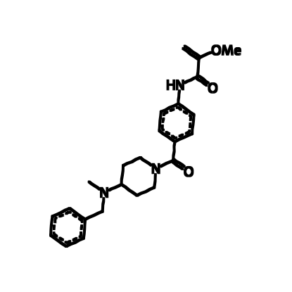 C=C(OC)C(=O)Nc1ccc(C(=O)N2CCC(N(C)Cc3ccccc3)CC2)cc1